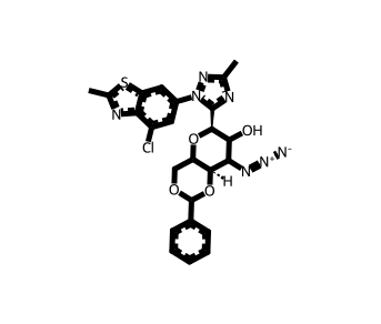 Cc1nc([C@@H]2OC3COC(c4ccccc4)O[C@@H]3C(N=[N+]=[N-])C2O)n(-c2cc(Cl)c3nc(C)sc3c2)n1